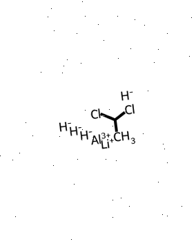 CC(Cl)Cl.[Al+3].[H-].[H-].[H-].[H-].[Li+]